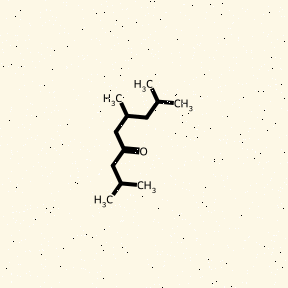 CC(C)CC(=O)CC(C)CC(C)C